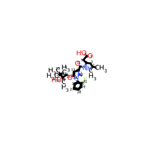 CC(C)CC(CC(=O)O)NC(=O)c1cc(OCC(C)(O)C(C)(C)C)n(-c2ccccc2F)n1